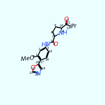 COc1cc(NC(=O)C2CCC(C(=O)C(C)C)N2)ccc1-c1cnco1